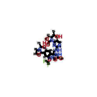 C[C@H](Nc1nccc(N2C(=O)OC[C@@H]2[C@@H](C)O)n1)C1(c2ccc(C3OCCN3[C@@H](C)O)cc2OC(F)F)NOC(=O)N1